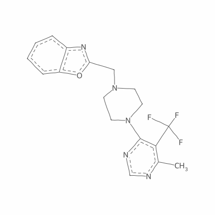 Cc1ncnc(N2CCN(Cc3nc4ccccc4o3)CC2)c1C(F)(F)F